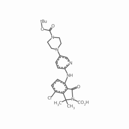 CC(C)(C)OC(=O)N1CCN(c2ccc(Nc3ccc(Cl)c4c3C(=O)N(C(=O)O)C4(C)C)nc2)CC1